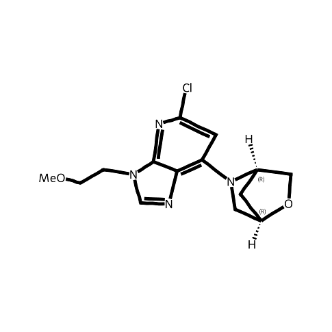 COCCn1cnc2c(N3C[C@H]4C[C@@H]3CO4)cc(Cl)nc21